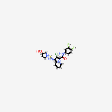 O=C(Nc1ccc(F)c(F)c1)c1c(Cl)c(NSN2CCC(O)C2)c2ccccn12